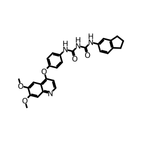 COc1cc2nccc(Oc3ccc(NC(=O)NC(=O)Nc4ccc5c(c4)CCC5)cc3)c2cc1OC